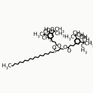 CCCCCCCCCCCCCCCCCCSCC(COC(=O)CCc1cc(C(C)(C)C)c(O)c(C(C)(C)C)c1)OC(=O)CCc1cc(C(C)(C)C)c(O)c(C(C)(C)C)c1